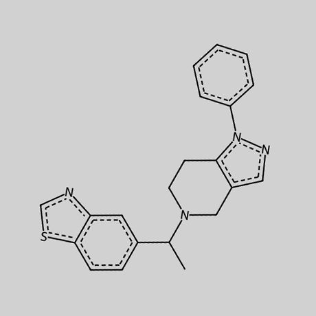 CC(c1ccc2scnc2c1)N1CCc2c(cnn2-c2ccccc2)C1